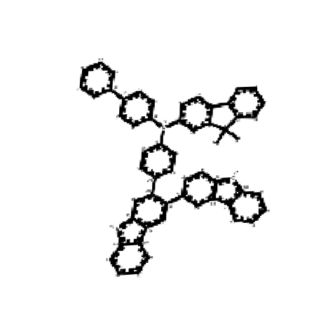 CC1(C)c2ccccc2-c2ccc(N(c3ccc(-c4ccccc4)cc3)c3ccc(-c4cc5sc6ccccc6c5cc4-c4ccc5oc6ccccc6c5c4)cc3)cc21